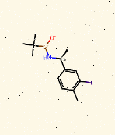 Cc1ccc([C@H](C)N[S+]([O-])C(C)(C)C)cc1I